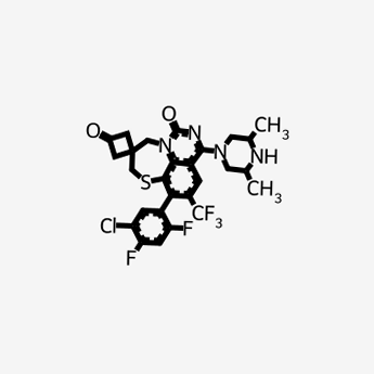 CC1CN(c2nc(=O)n3c4c(c(-c5cc(Cl)c(F)cc5F)c(C(F)(F)F)cc24)SCC2(CC(=O)C2)C3)CC(C)N1